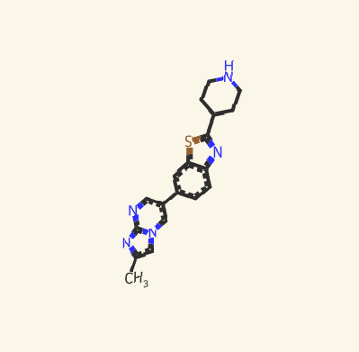 Cc1cn2cc(-c3ccc4nc(C5CCNCC5)sc4c3)cnc2n1